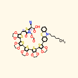 CCCCCCN1c2ccccc2Sc2cc(-c3sc(-c4sc(-c5sc(-c6sc(-c7sc(/C=c8/s/c(=C(\C#N)C(=O)O)n(COC=O)c8=O)c8c7OCCO8)c7c6OCCO7)c6c5OCCO6)c5c4OCCO5)c4c3OCCO4)ccc21